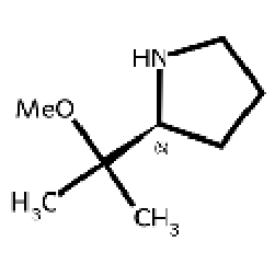 COC(C)(C)[C@@H]1CCCN1